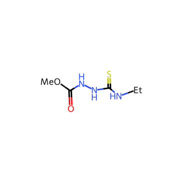 CCNC(=S)NNC(=O)OC